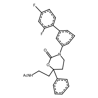 CC(=O)NCCC1(c2ccccc2)CCN(c2cccc(-c3ccc(F)cc3F)c2)C(=O)O1